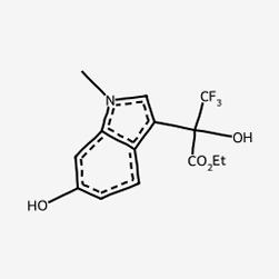 CCOC(=O)C(O)(c1cn(C)c2cc(O)ccc12)C(F)(F)F